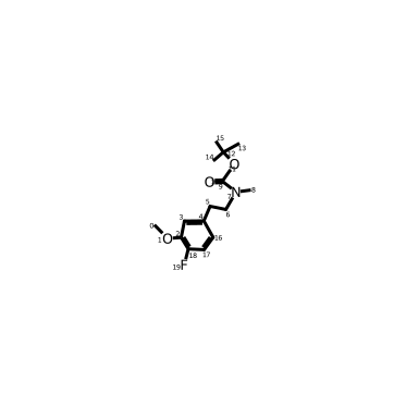 COc1cc(CCN(C)C(=O)OC(C)(C)C)ccc1F